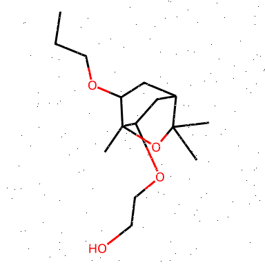 CCCOC1CC2CC(OCCO)C1(C)OC2(C)C